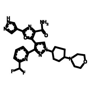 NC(=O)c1nc(-c2cn[nH]c2)oc1-c1cn(C2CCC(N3CCOCC3)CC2)nc1-c1cccc(C(F)F)n1